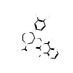 Cn1c(=O)n(C[C@H]2CN(C(=O)O)CCO[C@H]2c2ccc(Cl)c(F)c2)c(=O)c2nccnc21